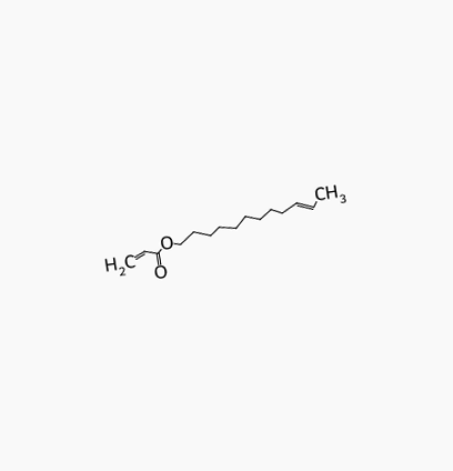 C=CC(=O)OCCCCCCCCCC=CC